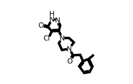 Cc1ccccc1CC(=O)N1CCN(c2cn[nH]c(=O)c2Cl)CC1